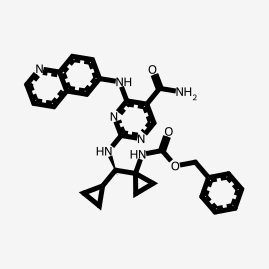 NC(=O)c1cnc(N[C@H](C2CC2)C2(NC(=O)OCc3ccccc3)CC2)nc1Nc1ccc2ncccc2c1